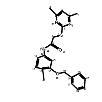 Cc1cc(C)nc(SCC(=O)Nc2ccc(C)c(OCc3ccccc3)c2)n1